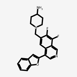 NC1CCN(Cc2cc3c(-c4cc5ccccc5o4)cncc3c(F)c2F)CC1